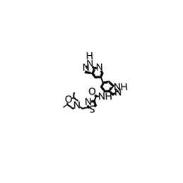 CC1CN(Cc2nc(C(=O)Nc3cc(-c4cnc5[nH]ncc5c4)cc4[nH]ncc34)cs2)C[C@@H](C)O1